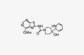 COc1ncnc2sc(NC(=O)N3CCC(O)(C4C=CC=CN4)CC3)nc12